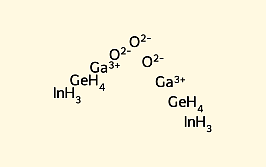 [Ga+3].[Ga+3].[GeH4].[GeH4].[InH3].[InH3].[O-2].[O-2].[O-2]